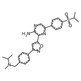 CC(C)N(C)Cc1ccc(-c2cc(-c3nc(-c4ccc(S(=O)(=O)C(C)C)cc4)cnc3N)on2)cc1